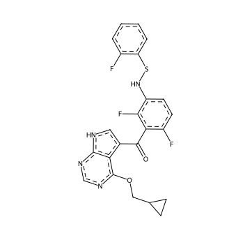 O=C(c1c(F)ccc(NSc2ccccc2F)c1F)c1c[nH]c2ncnc(OCC3CC3)c12